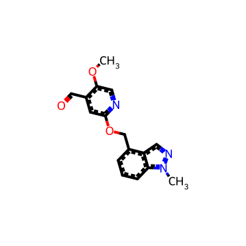 COc1cnc(OCc2cccc3c2cnn3C)cc1C=O